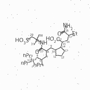 CCC[N+](CCC)(CCC)CC(C)CC(CC1CCCC1C(CC(CC)C(N)=O)C(=O)O)C(=O)NC(C)(C)CS(=O)(=O)O